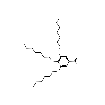 CCCCCCCOc1cc(C(=O)O)cc(OCCCCCCC)c1OCCCCCCC